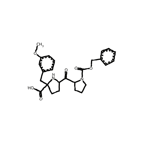 COc1cccc(CC2(C(=O)O)CCC(C(=O)C3CCCN3C(=O)OCc3ccccc3)N2)c1